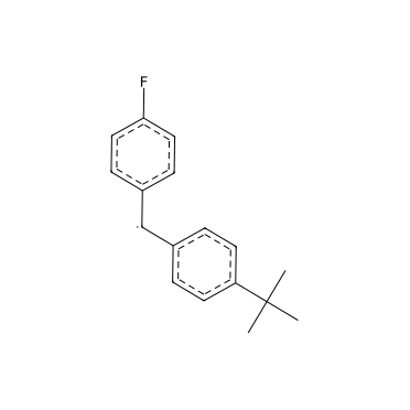 CC(C)(C)c1ccc([CH]c2ccc(F)cc2)cc1